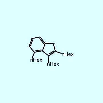 CCCCCCC1=C(CCCCCC)c2c(cccc2CCCCCC)[CH]1